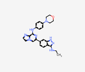 CCNc1n[nH]c2cc(-c3cn4ccnc4c(Nc4ccc(N5CCOCC5)cc4)n3)ccc12